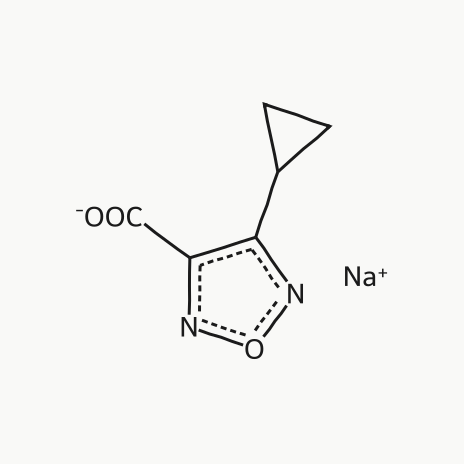 O=C([O-])c1nonc1C1CC1.[Na+]